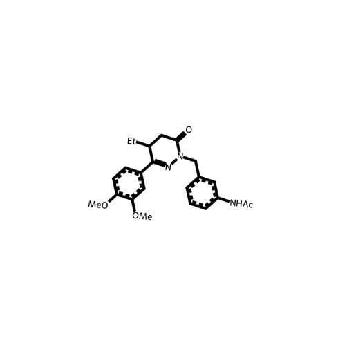 CCC1CC(=O)N(Cc2cccc(NC(C)=O)c2)N=C1c1ccc(OC)c(OC)c1